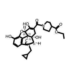 CCOC(=O)C1CCN(C(=O)C2=C(O)[C@@H]3Oc4c(O)ccc5c4[C@@]34CCN(CC3CC3)[C@H](C5)[C@]4(O)C2)CC1